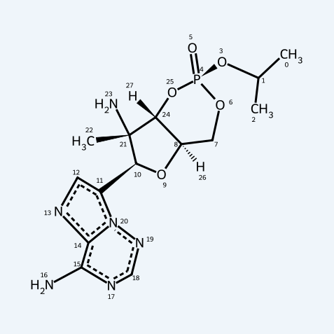 CC(C)O[P@@]1(=O)OC[C@H]2O[C@@H](c3cnc4c(N)ncnn34)[C@](C)(N)[C@@H]2O1